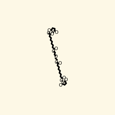 O=C(CCCCCCCC(=O)ON1C(=O)CCC1=O)OCCOCCOC(=O)CCCCCCCC(=O)ON1C(=O)CCC1=O